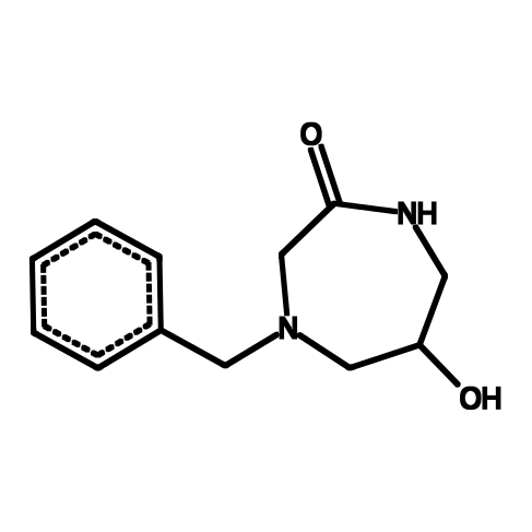 O=C1CN(Cc2ccccc2)CC(O)CN1